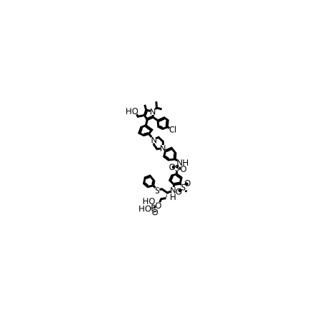 Cc1c(CO)c(-c2cccc(N3CCN(c4ccc(NS(=O)(=O)c5ccc(N[C@H](CCOP(=O)(O)O)CSc6ccccc6)c(S(C)(=O)=O)c5)cc4)CC3)c2)c(-c2ccc(Cl)cc2)n1C(C)C